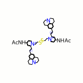 CC(=O)Nc1cc[n+](CCSSCC[n+]2ccc(NC(C)=O)cc2/C=C/c2cc3c4c(c2)CCCN4CCC3)c(/C=C/c2cc3c4c(c2)CCCN4CCC3)c1